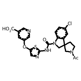 CC(=O)N1CCC2(C1)CN(C(=O)Nc1ncc(Oc3cncc(C(=O)O)c3)s1)c1ccc(Cl)cc12